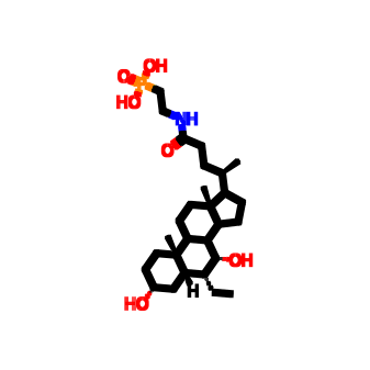 CC[C@H]1[C@@H](O)C2C3CCC([C@H](C)CCC(=O)NCCP(=O)(O)O)[C@@]3(C)CCC2[C@@]2(C)CC[C@@H](O)C[C@@H]12